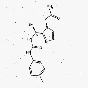 Cc1ccc(NC(=O)N[C@H](c2nccn2CC(N)=O)C(C)C)cc1